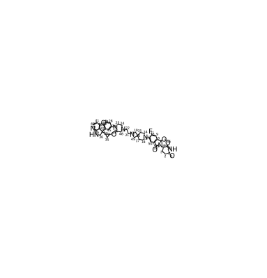 O=C1CCC(N2C(=O)c3cc(F)c(N4CCC5(CC4)CN(CCN4CCN(c6cccc(C7(C8CC8)CNc8nccc(Cl)c87)c6)C(=O)C4)C5)cc3C2=O)C(=O)N1